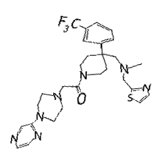 CN(Cc1nccs1)CC1(c2cccc(C(F)(F)F)c2)CCN(C(=O)CN2CCN(c3cnccn3)CC2)CC1